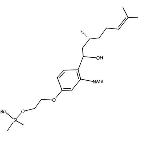 CNc1cc(OCCO[Si](C)(C)C(C)(C)C)ccc1C(O)C[C@H](C)CCC=C(C)C